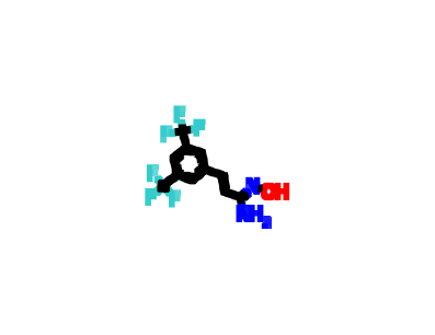 NC(C=Cc1cc(C(F)(F)F)cc(C(F)(F)F)c1)=NO